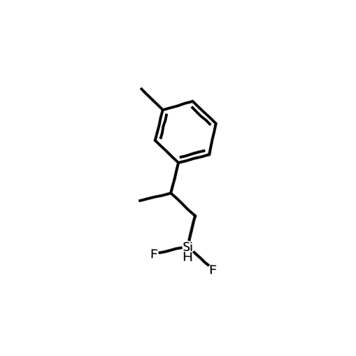 Cc1cccc(C(C)C[SiH](F)F)c1